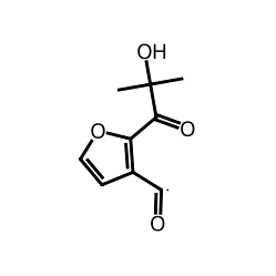 CC(C)(O)C(=O)c1occc1[C]=O